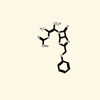 COC(=O)OC(C)=C(C(=O)O)N1C(=O)C2N=C(COc3ccccc3)SC21